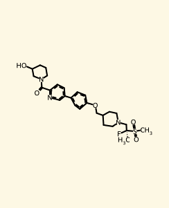 C[C@](F)(CN1CCC(COc2ccc(-c3ccc(C(=O)N4CCCC(O)C4)nc3)cc2)CC1)S(C)(=O)=O